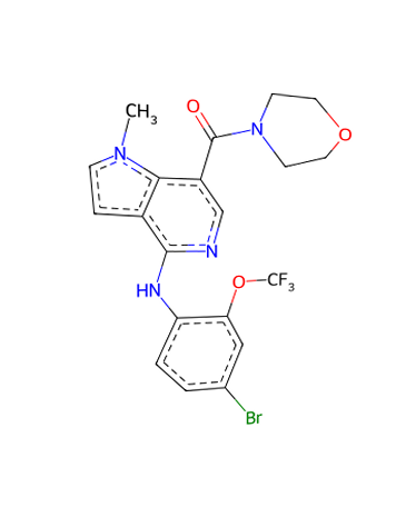 Cn1ccc2c(Nc3ccc(Br)cc3OC(F)(F)F)ncc(C(=O)N3CCOCC3)c21